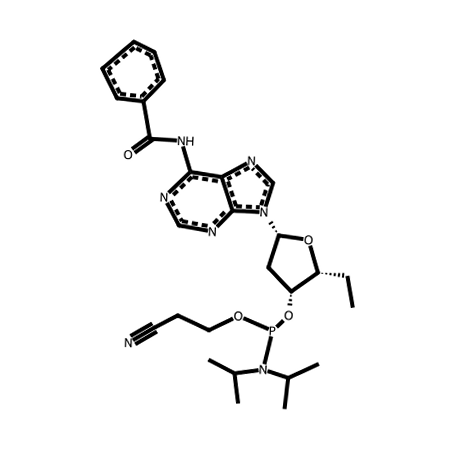 CC[C@H]1O[C@@H](n2cnc3c(NC(=O)c4ccccc4)ncnc32)C[C@H]1OP(OCCC#N)N(C(C)C)C(C)C